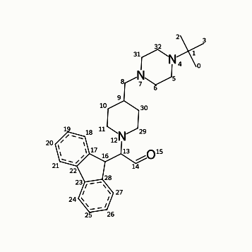 CC(C)(C)N1CCN(CC2CCN(C(C=O)C3c4ccccc4-c4ccccc43)CC2)CC1